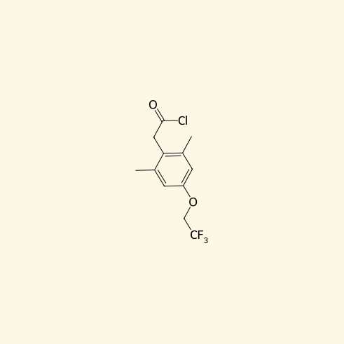 Cc1cc(OCC(F)(F)F)cc(C)c1CC(=O)Cl